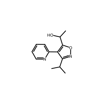 CC(C)c1noc(C(C)O)c1-c1ccccn1